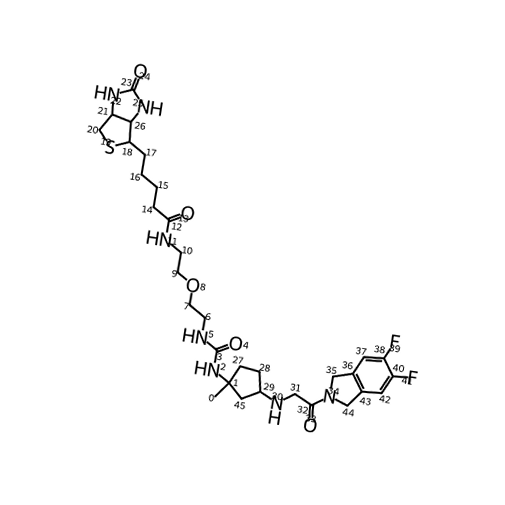 CC1(NC(=O)NCCOCCNC(=O)CCCCC2SCC3NC(=O)NC32)CCC(NCC(=O)N2Cc3cc(F)c(F)cc3C2)C1